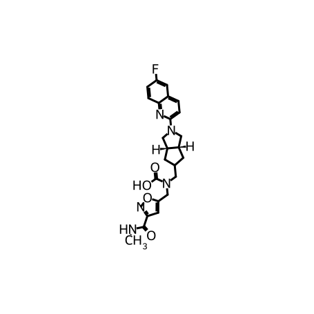 CNC(=O)c1cc(CN(CC2C[C@@H]3CN(c4ccc5cc(F)ccc5n4)C[C@@H]3C2)C(=O)O)on1